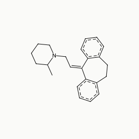 CC1CCCCN1CC=C1c2ccccc2CCc2ccccc21